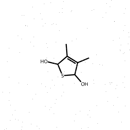 CC1=C(C)C(O)SC1O